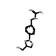 N=C(N)NCc1ccc(B2OCC(CO)O2)cc1